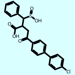 O=C(CC(C(=O)O)C(c1ccccc1)S(=O)O)c1ccc(-c2ccc(Cl)cc2)cc1